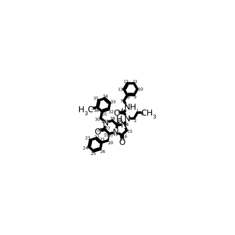 CCCN(C(=O)NCC1=CCCC=C1)N1CC(=O)N2[C@@H](Cc3ccccc3)C(=O)N(Cc3ccccc3C)C[C@@H]21